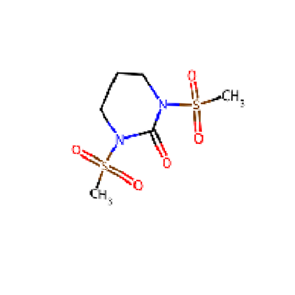 CS(=O)(=O)N1CCCN(S(C)(=O)=O)C1=O